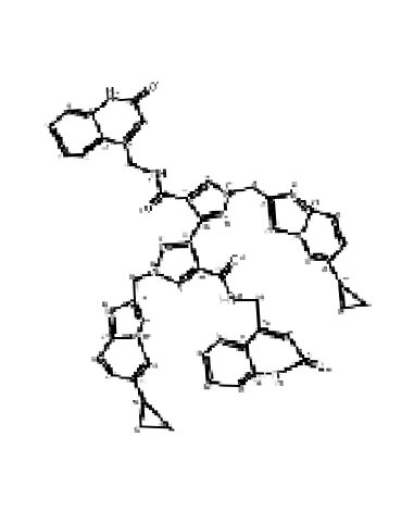 O=C(NCc1cc(=O)[nH]c2ccccc12)c1cn(Cc2cn3cc(C4CC4)ccc3n2)nc1-c1nn(Cc2cn3cc(C4CC4)ccc3n2)cc1C(=O)NCc1cc(=O)[nH]c2ccccc12